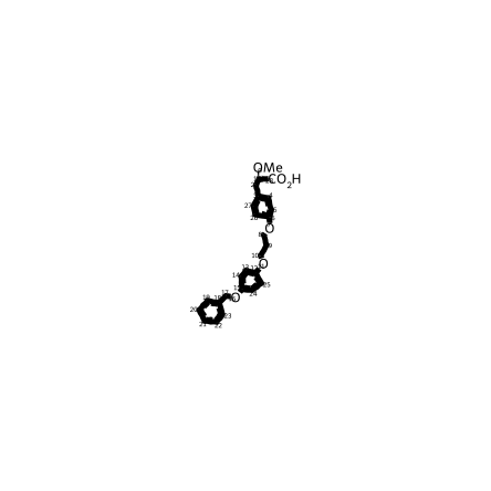 CO[C@@H](Cc1ccc(OCCCOc2ccc(OCc3ccccc3)cc2)cc1)C(=O)O